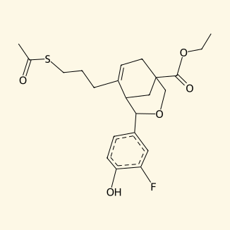 CCOC(=O)C12CC=C(CCCSC(C)=O)C(C1)C(c1ccc(O)c(F)c1)OC2